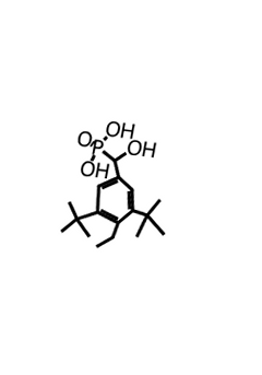 CCc1c(C(C)(C)C)cc(C(O)P(=O)(O)O)cc1C(C)(C)C